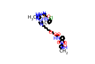 C=C1CCC(N2C(=O)c3cccc(NC(=O)COCCOCCCCCCN4CCN(c5cc(Nc6ncc(C(=O)Nc7c(C)cccc7Cl)s6)nc(C)n5)CC4)c3C2=O)C(=O)N1